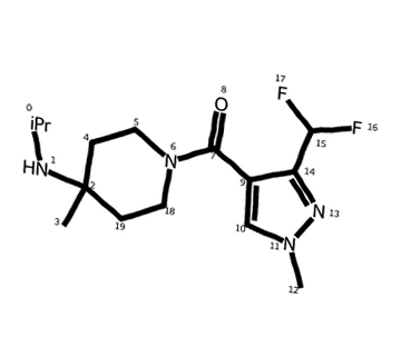 CC(C)NC1(C)CCN(C(=O)c2cn(C)nc2C(F)F)CC1